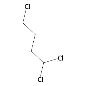 ClCC[CH]C(Cl)Cl